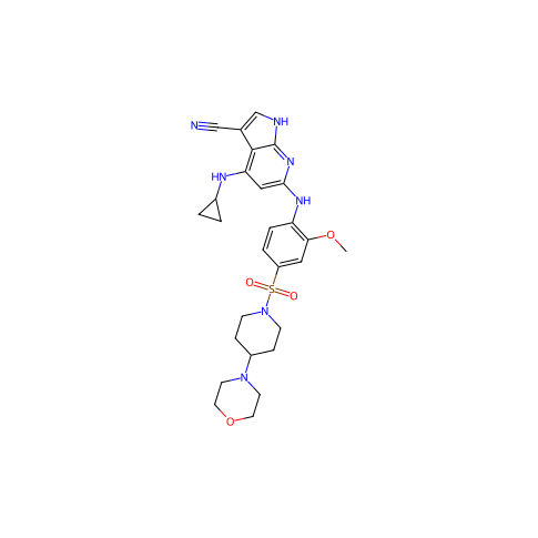 COc1cc(S(=O)(=O)N2CCC(N3CCOCC3)CC2)ccc1Nc1cc(NC2CC2)c2c(C#N)c[nH]c2n1